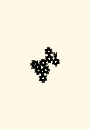 N#Cc1ccccc1-c1cc(-c2ccccc2)cc(-c2ccc(-n3c4ncccc4c4ccc5c(c6ccccc6n5-c5ccccc5)c43)cc2)n1